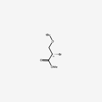 COC(=O)[C@@H](Br)COC(C)(C)C